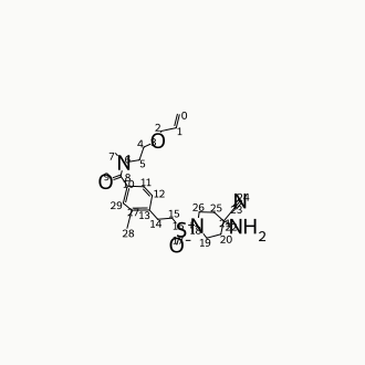 C=CCOCCN(C)C(=O)c1ccc(CC[S+]([O-])N2CCC(N)(C#N)CC2)c(C)c1